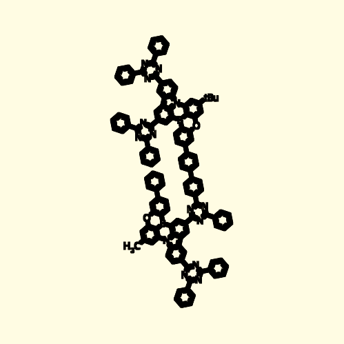 Cc1cc2c3c(c1)-n1c4ccc(-c5nc(-c6ccccc6)nc(-c6ccccc6)n5)cc4c4cc(-c5nc(-c6ccccc6)nc(-c6ccc(-c7ccc(-c8ccc9c(c8)Oc8cc(C(C)(C)C)cc%10c8B9c8cc(-c9nc(-c%11ccccc%11)nc(-c%11ccccc%11)n9)cc9c%11cc(-c%12nc(-c%13ccccc%13)nc(-c%13ccccc%13)n%12)ccc%11n-%10c89)cc7)cc6)n5)cc(c41)B3c1ccc(-c3ccccc3)cc1O2